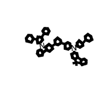 CC1(C)c2ccccc2-c2cc(N(c3ccc(-c4ccccc4)cc3)c3ccc(-c4cccc(-c5ccc6c7ccccc7n(-c7cc(-c8ccccc8)cc(-c8ccccc8)c7)c6c5)c4)cc3)ccc21